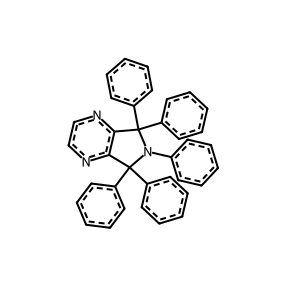 c1ccc(N2C(c3ccccc3)(c3ccccc3)c3nccnc3C2(c2ccccc2)c2ccccc2)cc1